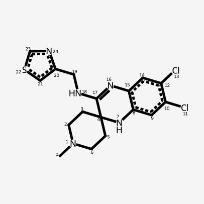 CN1CCC2(CC1)Nc1cc(Cl)c(Cl)cc1N=C2NCc1cscn1